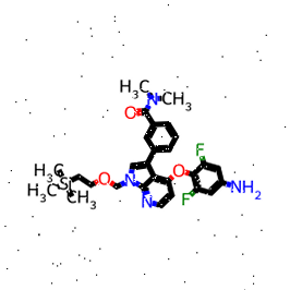 CN(C)C(=O)c1cccc(-c2cn(COCC[Si](C)(C)C)c3nccc(Oc4c(F)cc(N)cc4F)c23)c1